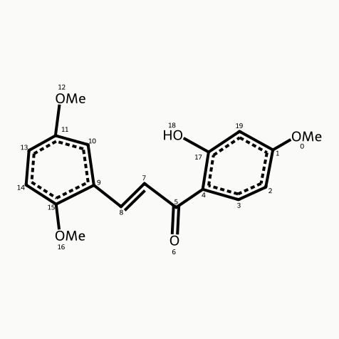 COc1ccc(C(=O)C=Cc2cc(OC)ccc2OC)c(O)c1